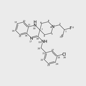 FC(F)CN1CCC2(CC1)Nc1ccccc1N=C2NCc1cccc(Cl)c1